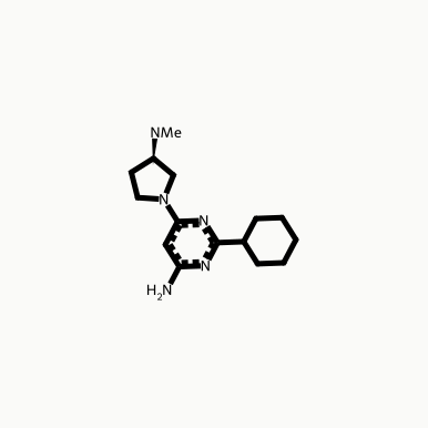 CN[C@@H]1CCN(c2cc(N)nc(C3CCCCC3)n2)C1